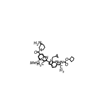 COc1cc(C(=O)N2CCC[C@@H](N)C2)cc2nc(-c3cc4ccc([C@@H](C)NC(=O)OC5CCCC5)nc4n3CC3CC3)c(C)n12